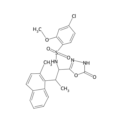 COc1cc(Cl)ccc1S(=O)(=O)NC(c1n[nH]c(=O)o1)C(C)c1c(C)ccc2ccccc12